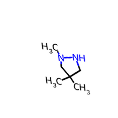 CN1CC(C)(C)CN1